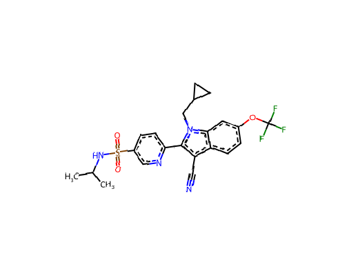 CC(C)NS(=O)(=O)c1ccc(-c2c(C#N)c3ccc(OC(F)(F)F)cc3n2CC2CC2)nc1